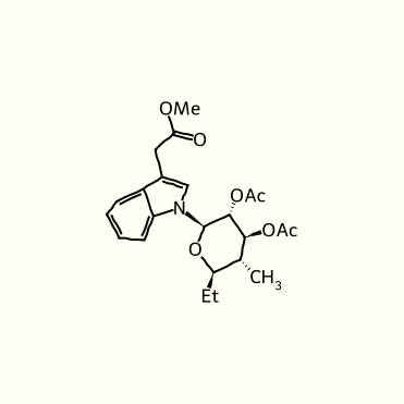 CC[C@H]1O[C@@H](n2cc(CC(=O)OC)c3ccccc32)[C@H](OC(C)=O)[C@@H](OC(C)=O)[C@@H]1C